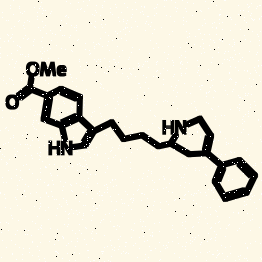 COC(=O)c1ccc2c(CCCCC3CC(c4ccccc4)=CCN3)c[nH]c2c1